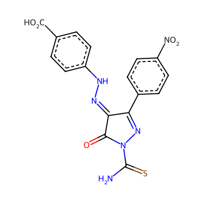 NC(=S)N1N=C(c2ccc([N+](=O)[O-])cc2)/C(=N\Nc2ccc(C(=O)O)cc2)C1=O